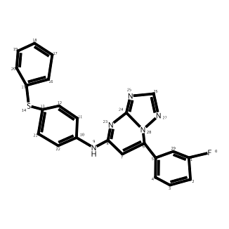 Fc1cccc(-c2cc(Nc3ccc(Sc4ccccc4)cc3)nc3ncnn23)c1